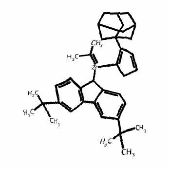 C[C](C)=[Zr]([C]1=C(C23CC4CC(CC(C4)C2)C3)C=CC1)[CH]1c2ccc(C(C)(C)C)cc2-c2cc(C(C)(C)C)ccc21